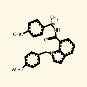 COc1ccc(Cn2ccc3cccc(C(=O)N[C@@H](C)c4ccc(C=O)cc4)c32)cc1